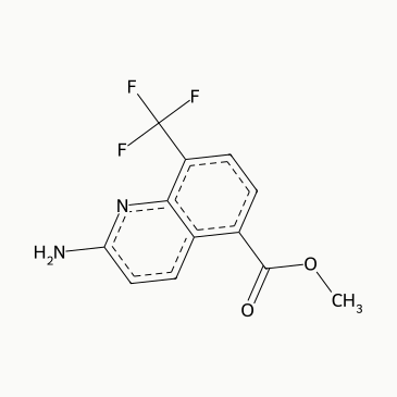 COC(=O)c1ccc(C(F)(F)F)c2nc(N)ccc12